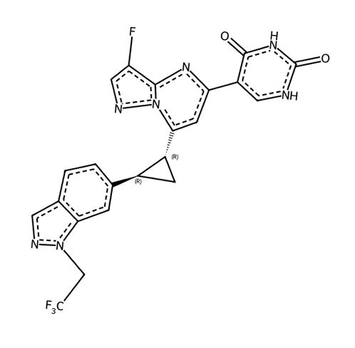 O=c1[nH]cc(-c2cc([C@@H]3C[C@H]3c3ccc4cnn(CC(F)(F)F)c4c3)n3ncc(F)c3n2)c(=O)[nH]1